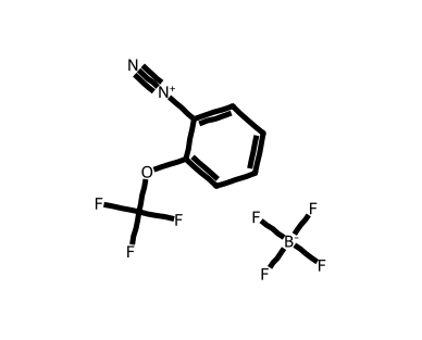 F[B-](F)(F)F.N#[N+]c1ccccc1OC(F)(F)F